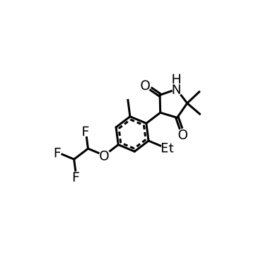 CCc1cc(OC(F)C(F)F)cc(C)c1C1C(=O)NC(C)(C)C1=O